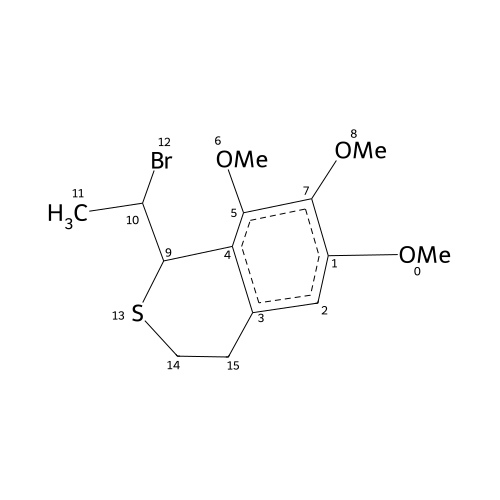 COc1cc2c(c(OC)c1OC)C(C(C)Br)SCC2